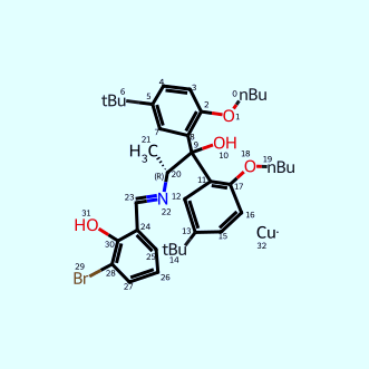 CCCCOc1ccc(C(C)(C)C)cc1C(O)(c1cc(C(C)(C)C)ccc1OCCCC)[C@@H](C)N=Cc1cccc(Br)c1O.[Cu]